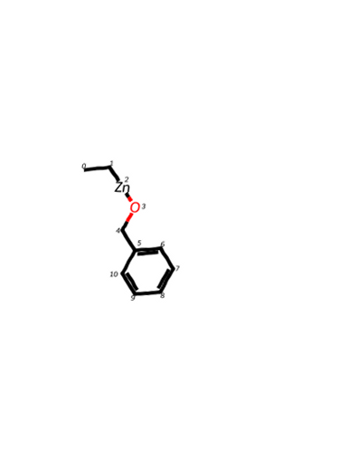 C[CH2][Zn][O]Cc1ccccc1